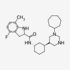 Cc1ccc(F)c2c1NC(C(=O)N[C@H]1CCC[C@H](C3CNCN(C4CCCCCC4)C3)C1)C2